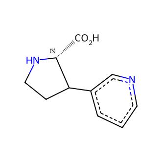 O=C(O)[C@H]1NCCC1c1cccnc1